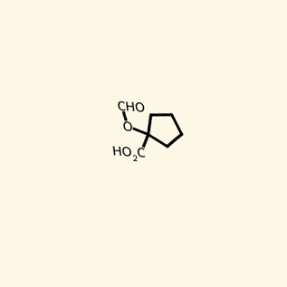 O=COC1(C(=O)O)CCCC1